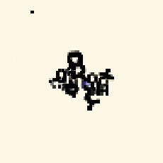 COC(=O)[C@H]1CCCN1C(=O)C(/C=C/C(CC(C)C)NC(=O)OC(C)(C)C)Cc1ccccc1